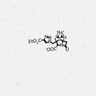 CCOC(=O)c1cn(C[C@@]2(C)[C@H](C(=O)[O-])N3C(=O)C[C@@H]3S2(=O)=O)nn1.[Na+]